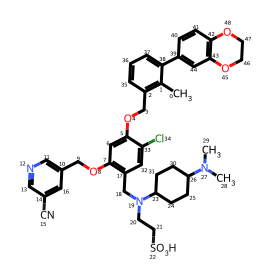 Cc1c(COc2cc(OCc3cncc(C#N)c3)c(CN(CCS(=O)(=O)O)C3CCC(N(C)C)CC3)cc2Cl)cccc1-c1ccc2c(c1)OCCO2